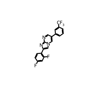 Fc1ccc(-c2cn3cc(-c4cccc(C(F)(F)F)c4)cnc3n2)c(F)c1